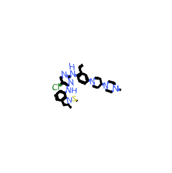 CCc1cc(N2CCC(N3CCN(C)CC3)CC2)ccc1Nc1ncc(Cl)c(Nc2cccc3c2N(SC)C(C)C3)n1